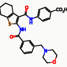 O=C(O)c1ccc(NC(=O)c2c(NC(=O)c3cccc(CN4CCOCC4)c3)sc3c2CCCC3)cc1